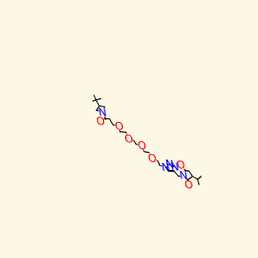 CC(C)C1CC(=O)N(Cc2cn(CCOCCOCCOCCOCCC(=O)N3CC(C(C)(C)C)C3)nn2)C1=O